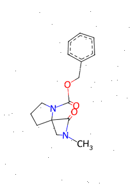 CN1CC2(CCCN2C(=O)OCc2ccccc2)C1=O